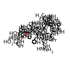 CC[C@H](C)[C@H](NC(=O)[C@H](C)NC(=O)[C@@H](N)[C@@H](C)O)C(=O)N[C@@H](CC(=O)O)C(=O)N[C@@H](C)C(=O)N1CCC[C@H]1C(=O)N[C@@H](CO)C(=O)N[C@@H](CC(N)=O)C(=O)N[C@@H](CC(C)C)C(=O)N[C@@H](CCCNC(=N)N)C(=O)N[C@@H](Cc1ccccc1)C(=O)N[C@@H](CC(C)C)C(=O)N[C@@H](C)C(=O)N[C@H](C(=O)N[C@H](C(=O)N1CCC[C@H]1C(=O)N[C@@H](CC(N)=O)C(=O)N[C@@H](CO)C(=O)N[C@@H](CC(C)C)C(=O)N[C@@H](CC(C)C)C(=O)O)[C@@H](C)O)[C@@H](C)O